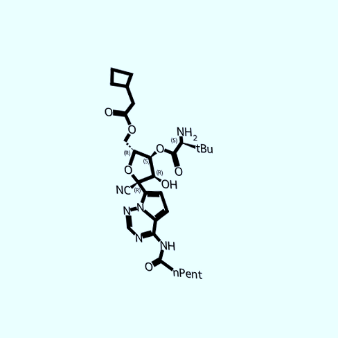 CCCCCC(=O)Nc1ncnn2c([C@]3(C#N)O[C@H](COC(=O)CC4CCC4)[C@@H](OC(=O)[C@@H](N)C(C)(C)C)[C@H]3O)ccc12